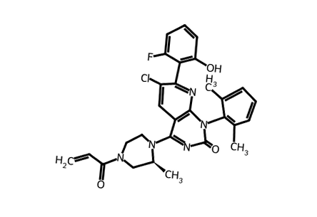 C=CC(=O)N1CCN(c2nc(=O)n(-c3c(C)cccc3C)c3nc(-c4c(O)cccc4F)c(Cl)cc23)[C@@H](C)C1